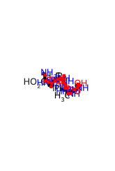 CC(C)C[C@H](NC(=O)CNC(=O)[C@H](CC(C)C)NC(=O)[C@H](C)NC(=O)CNC(=O)[C@@H]1C[C@@H](O)CN1)C(=O)N[C@@H](C)C(=O)NCC(=O)N1CCC[C@H]1C(=O)N[C@@H](CCCCN)C(=O)O